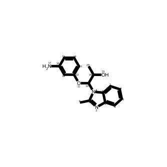 Cc1nc2ccccc2n1C(Oc1cccc(N)c1)C(C)O